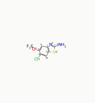 Nc1nc2cc(OC(F)(F)F)c(Cl)cc2s1